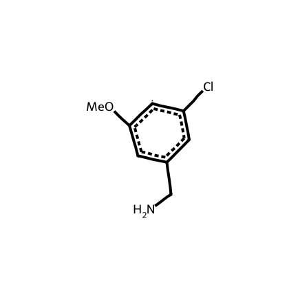 COc1[c]c(Cl)cc(CN)c1